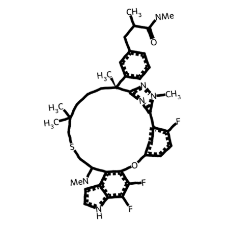 CNC(=O)C(C)Cc1cccc([C@@]2(C)CCCC(C)(C)CSCC(NC)c3c(c(F)c(F)c4[nH]ccc34)Oc3ccc(F)c(c3)-c3nc2nn3C)c1